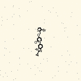 Cn1c(C2CC2)nc2ccc(-n3ccc(OCc4sccc4Br)cc3=O)cc21